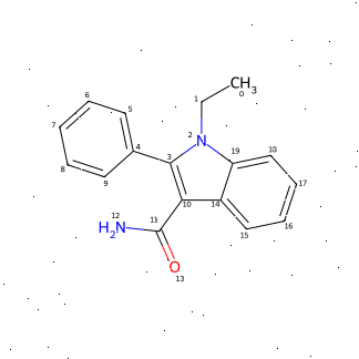 CCn1c(-c2ccccc2)c(C(N)=O)c2ccccc21